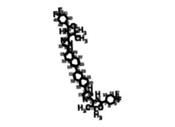 CC(C)[C@H](NC(=O)C1CCC(F)(F)CC1)c1ncc(-c2ccc3cc(-c4ccc5cc(-c6cnc([C@@H](NC(=O)C7CCC(F)(F)CC7)C(C)C)[nH]6)ccc5c4)ccc3c2)[nH]1